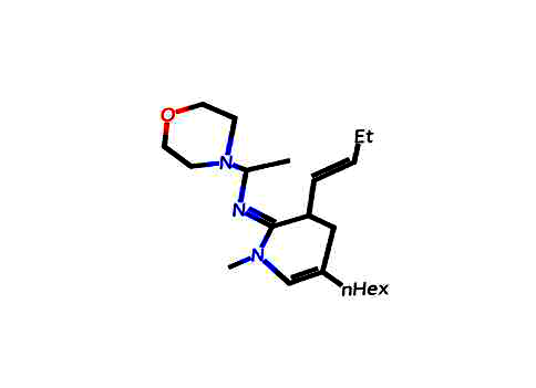 CCC=CC1CC(CCCCCC)=CN(C)/C1=N/C(C)N1CCOCC1